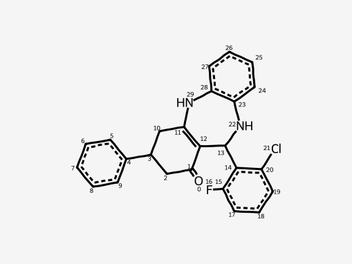 O=C1CC(c2ccccc2)CC2=C1C(c1c(F)cccc1Cl)Nc1ccccc1N2